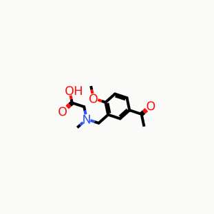 COc1ccc(C(C)=O)cc1CN(C)CC(=O)O